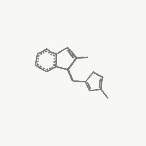 CC1=CCC(CC2C(C)=Cc3ccccc32)=C1